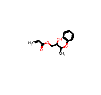 C=CC(=O)OCC(O)C(C)Oc1ccccc1